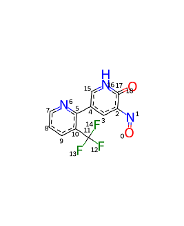 O=Nc1cc(-c2ncccc2C(F)(F)F)c[nH]c1=O